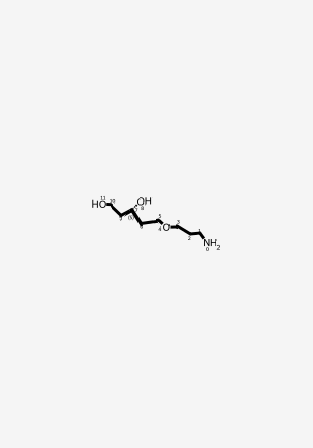 NCCCOCC[C@@H](O)CCO